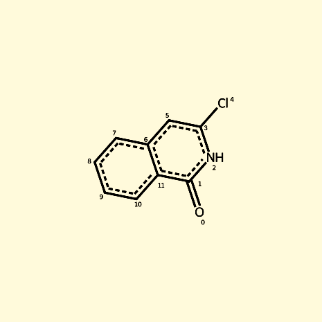 O=c1[nH]c(Cl)cc2ccccc12